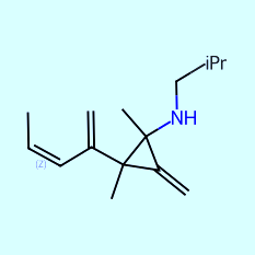 C=C(/C=C\C)C1(C)C(=C)C1(C)NCC(C)C